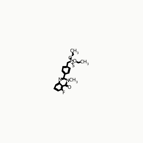 CCOP(=S)(Cc1ccc(-c2nc3cccc(F)c3c(=O)n2C)cc1)OCC